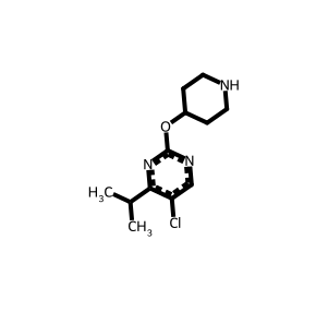 CC(C)c1nc(OC2CCNCC2)ncc1Cl